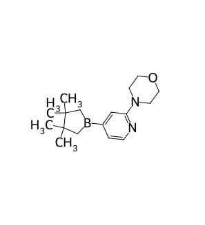 CC1(C)CB(c2ccnc(N3CCOCC3)c2)CC1(C)C